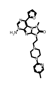 Cc1ccc(N2CCN(CCN3C(=O)N(C)N4C5=C(c6ccco6)N=CN(N)C5=NC34)CC2)nc1